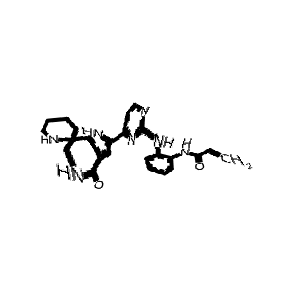 C=CC(=O)Nc1ccccc1Nc1nccc(-c2cc3c([nH]2)C2(CCCCN2)CNC3=O)n1